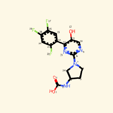 O=C(O)NC1CCN(c2ncc(O)c(-c3cc(F)c(F)cc3F)n2)C1